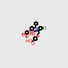 COc1ccc(SN(CCc2c(CCOc3ccc(C(=O)O)cc3)c3cc(Cl)ccc3n2C(c2ccccc2)c2ccccc2)S(C)(=O)=O)cc1OC